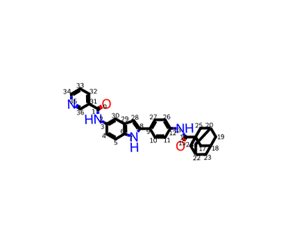 O=C(Nc1ccc2[nH]c(-c3ccc(NC(=O)C45CC6CC(CC(C6)C4)C5)cc3)cc2c1)c1cccnc1